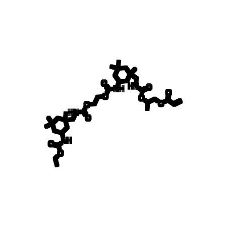 C=CC(=O)OCC(C)OC(=O)NCC1(C)CC(NC(=O)OCCOC(=O)NCC2(C)CC(NC(=O)OCC)CC(C)(C)C2)CC(C)(C)C1